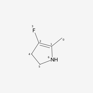 CC1=C(F)CCN1